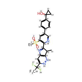 CCS(=O)(=O)c1cc(-c2ccc(C3(O)CC3)cc2)cnc1C1=Nc2cc(C(F)(F)C(F)(F)F)nnc2C1C